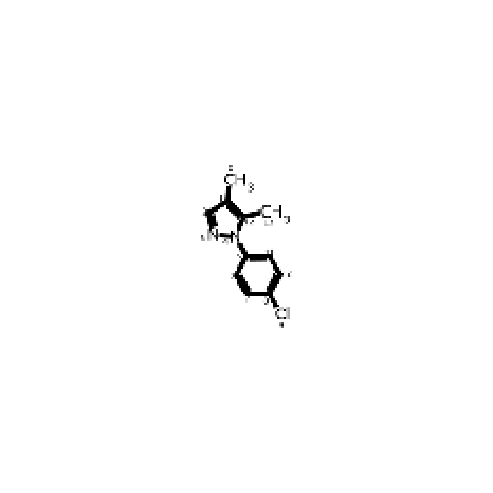 Cc1cnn(-c2ccc(Cl)cc2)c1C